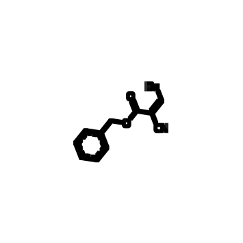 CCC(C)/C=C(/C#N)C(=O)OCc1ccccc1